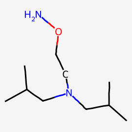 CC(C)CN(CCON)CC(C)C